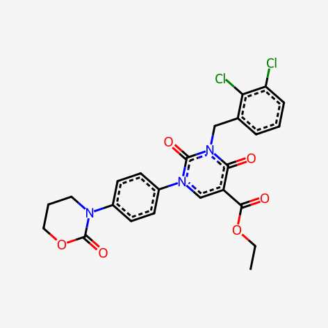 CCOC(=O)c1cn(-c2ccc(N3CCCOC3=O)cc2)c(=O)n(Cc2cccc(Cl)c2Cl)c1=O